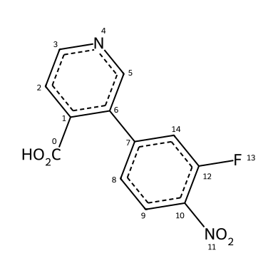 O=C(O)c1ccncc1-c1ccc([N+](=O)[O-])c(F)c1